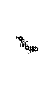 O=C(Nc1ccc(C(=O)N2CC3(CCCCN3)C2)cc1)N1Cc2ccc(F)cc2C1